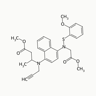 C#CCN(c1ccc(N(CC(=O)OC)Sc2ccccc2OC)c2ccccc12)C(C)CC(=O)OC